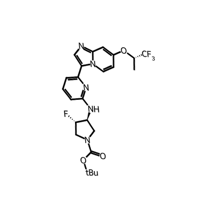 C[C@H](Oc1ccn2c(-c3cccc(N[C@H]4CN(C(=O)OC(C)(C)C)C[C@@H]4F)n3)cnc2c1)C(F)(F)F